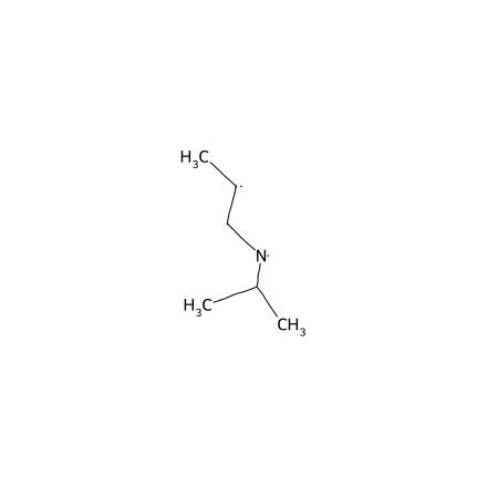 C[CH]C[N]C(C)C